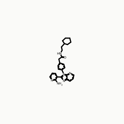 Nc1ncccc1-c1nc2cccnc2n1-c1ccc(CC(=O)NCCC2CCCCC2)cc1